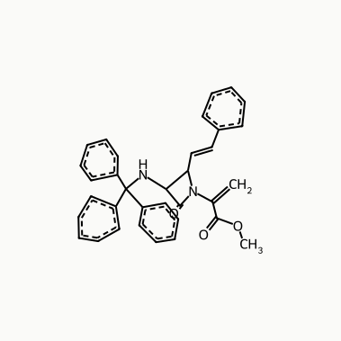 C=C(C(=O)OC)N1C(=O)C(NC(c2ccccc2)(c2ccccc2)c2ccccc2)C1C=Cc1ccccc1